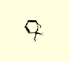 FC1([S])C=CC=CO1